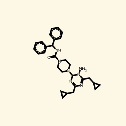 NN1C(CC2CC2)=NC(CC2CC2)=NC1N1CCN(C(=O)NC(c2ccccc2)c2ccccc2)CC1